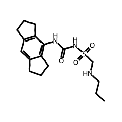 CCCNCS(=O)(=O)NC(=O)Nc1c2c(cc3c1CCC3)CCC2